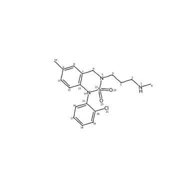 CNCCCN1Cc2cc(C)ccc2N(c2ccccc2Cl)S1(=O)=O